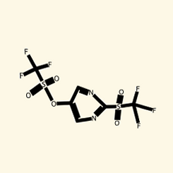 O=S(=O)(Oc1cnc(S(=O)(=O)C(F)(F)F)nc1)C(F)(F)F